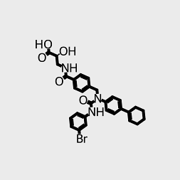 O=C(NC[C@@H](O)C(=O)O)c1ccc(CN(C(=O)Nc2cccc(Br)c2)c2ccc(C3=CCCCC3)cc2)cc1